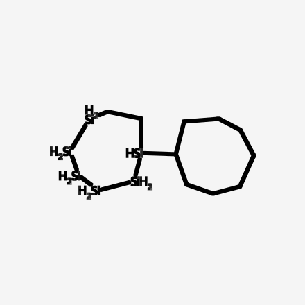 C1CCCC([SiH]2CC[SiH2][SiH2][SiH2][SiH2][SiH2]2)CCC1